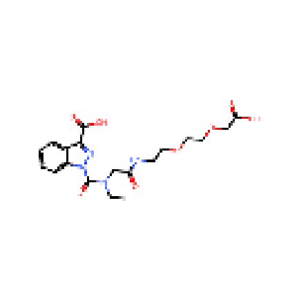 CCN(CC(=O)NCCOCCOCC(=O)O)C(=O)n1nc(C(=O)O)c2ccccc21